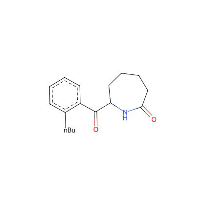 CCCCc1ccccc1C(=O)C1CCCCC(=O)N1